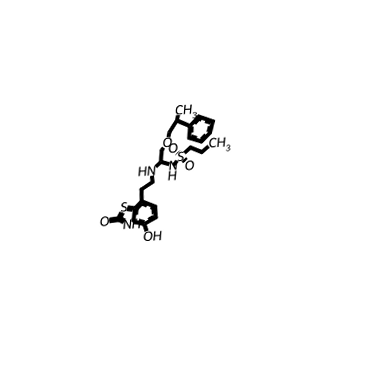 CCCS(=O)(=O)NC(COCC(C)c1ccccc1)NCCc1ccc(O)c2[nH]c(=O)sc12